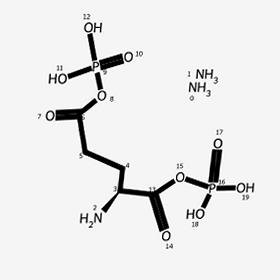 N.N.N[C@@H](CCC(=O)OP(=O)(O)O)C(=O)OP(=O)(O)O